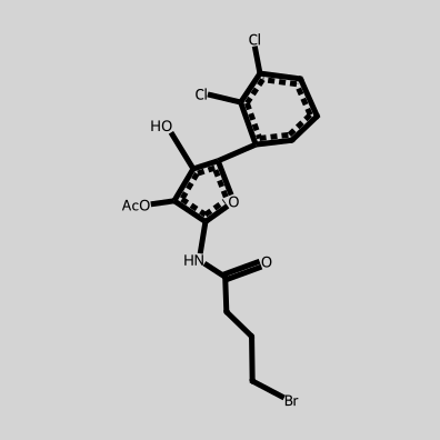 CC(=O)Oc1c(NC(=O)CCCBr)oc(-c2cccc(Cl)c2Cl)c1O